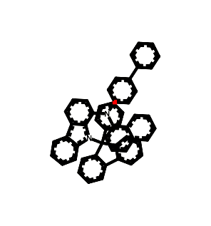 c1ccc(-c2ccc(N(c3cccc4ccccc34)c3cccc4c5ccccc5n(C5(c6ccccc6)c6ccccc6-c6ccccc65)c34)cc2)cc1